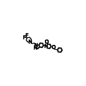 O=c1cc(OCc2ccccc2)ccn1-c1ccc2c(cnn2CCN2CCC(F)(F)CC2)c1